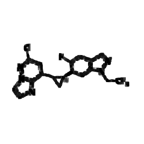 Fc1cc2cnn(CC(F)(F)F)c2cc1[C@H]1CC1c1cc(Cl)nn2ccnc12